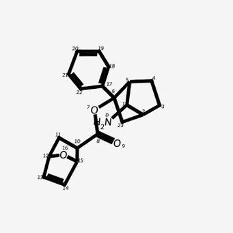 NC1C2CCC1C(OC(=O)C1CC3C=CC1O3)(c1ccccc1)C2